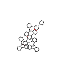 c1ccc(-c2cccc(-c3ccccc3N(c3ccc(-c4cccc(-n5c6ccccc6c6ccccc65)c4)cc3)c3ccccc3-c3ccc4c(c3)C3(c5ccccc5-4)c4ccccc4-n4c5ccccc5c5cccc3c54)c2)cc1